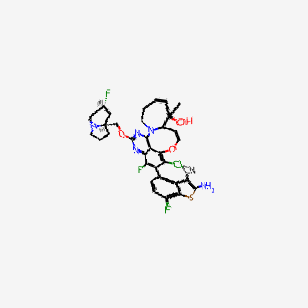 CC1(O)CCCCN2c3nc(OC[C@@]45CCCN4C[C@H](F)C5)nc4c(F)c(-c5ccc(F)c6sc(N)c(C#N)c56)c(Cl)c(c34)OCCC21